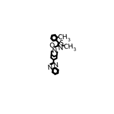 Cc1nc(C(=O)N2CC3CC(CC(c4cnc5ccccc5n4)C3)C2)c(-c2ccccc2C)s1